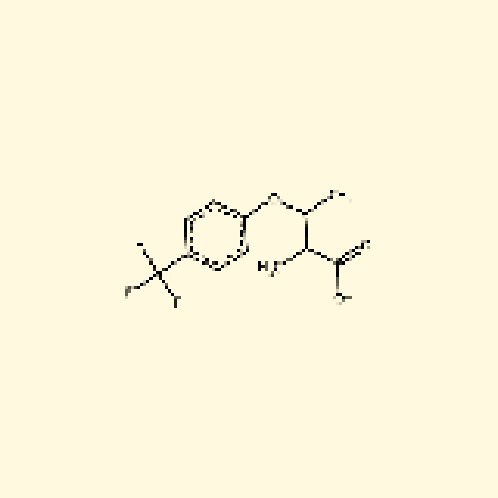 CC(Oc1ccc(C(F)(F)F)cc1)C(C)C(=O)O